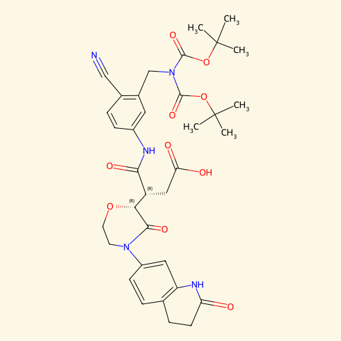 CC(C)(C)OC(=O)N(Cc1cc(NC(=O)[C@H](CC(=O)O)[C@H]2OCCN(c3ccc4c(c3)NC(=O)CC4)C2=O)ccc1C#N)C(=O)OC(C)(C)C